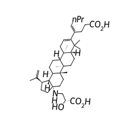 C=C(C)[C@@H]1CC[C@]2(NC[C@@H](O)C(=O)O)CC[C@]3(C)[C@H](CC[C@@H]4[C@@]5(C)CC=C(/C(=C/CCC)CCC(=O)O)C(C)(C)[C@@H]5CC[C@]43C)[C@@H]12